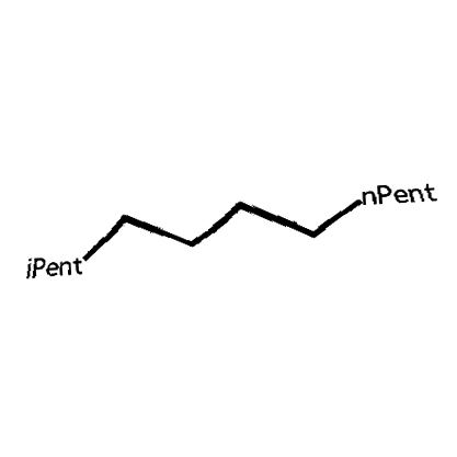 C[CH]CC(C)CCCCCCCCC